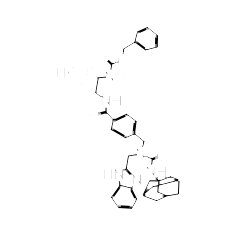 O=C(N[C@@H](CNC(=O)c1ccc(CN(Cc2nc3ccccc3[nH]2)C(=O)NC23CC4CC(CC(C4)C2)C3)cc1)C(=O)O)OCc1ccccc1